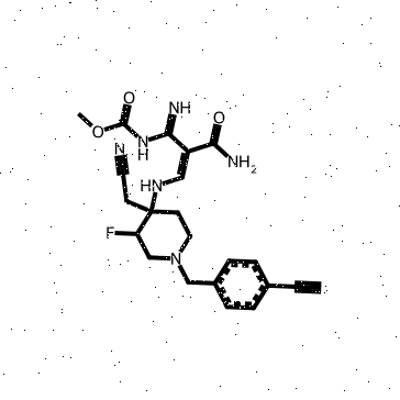 C#Cc1ccc(CN2CCC(CC#N)(N/C=C(\C(=N)NC(=O)OC)C(N)=O)C(F)C2)cc1